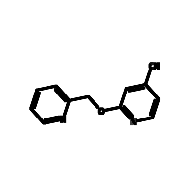 N#Cc1ccnc(OCc2ccccn2)c1